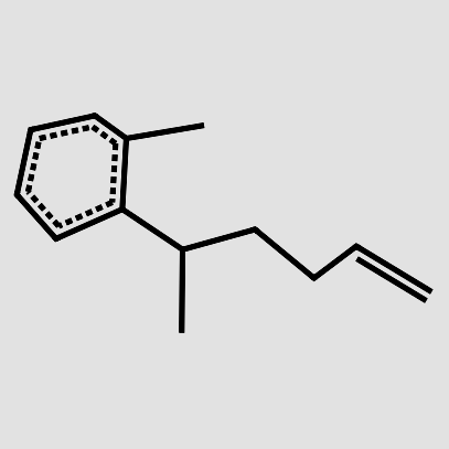 C=CCCC(C)c1ccccc1C